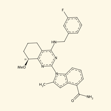 CO[C@H]1CCCc2c(NCc3cccc(F)c3)nc(-n3c(C)cc4c(C(N)=O)cccc43)nc21